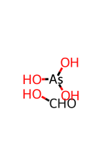 O=CO.O[As](O)O